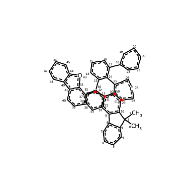 CC1(C)c2ccccc2-c2cc(N(c3cccc(-c4ccccc4)c3-c3ccccc3-c3ccccc3)c3cccc4c3oc3ccccc34)ccc21